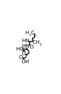 C/C=C\C=C(/C)C(=N)C(=O)N[C@H]1CC[C@@H](CC(=O)O)OB1O